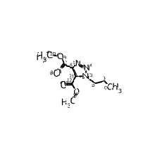 CCCn1nnc(C(=O)OC)c1C(=O)OC